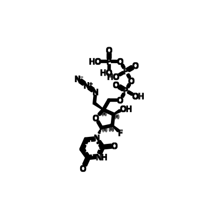 [N-]=[N+]=NC[C@]1(COP(=O)(O)OP(=O)(O)OP(=O)(O)O)O[C@@H](n2ccc(=O)[nH]c2=O)[C@H](F)[C@@H]1O